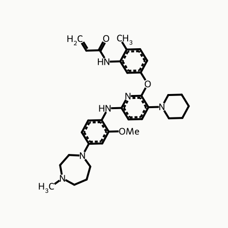 C=CC(=O)Nc1cc(Oc2nc(Nc3ccc(N4CCCN(C)CC4)cc3OC)ccc2N2CCCCC2)ccc1C